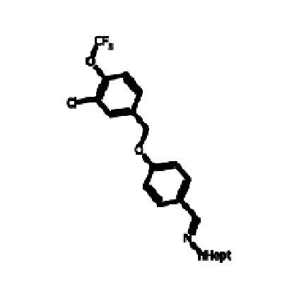 CCCCCCCN=Cc1ccc(OCc2ccc(OC(F)(F)F)c(Cl)c2)cc1